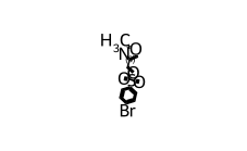 CC1=N[C@H](COS(=O)(=O)c2ccc(Br)cc2)CO1